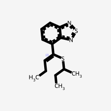 CC/C=C(\SC(C)CC)c1cccc2nsnc12